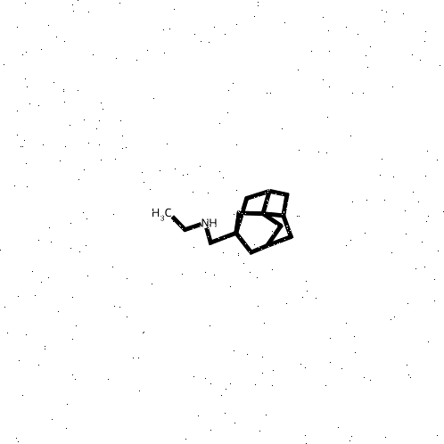 CCNCC12CC3CC4CC(C1)C4(C3)C2